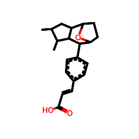 CC1CC2C3CCC(O3)C(c3ccc(C=CC(=O)O)cc3)C2C1C